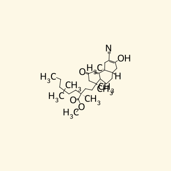 CCCC(C)(C)CC[C@@](C)(CC[C@]1(C)CC(=O)C=C2[C@@]3(C)CC(C#N)=C(O)C[C@@H]3CC[C@]21C)C(=O)OC